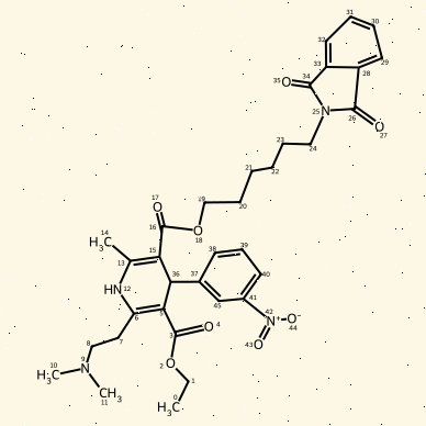 CCOC(=O)C1=C(CCN(C)C)NC(C)=C(C(=O)OCCCCCCN2C(=O)c3ccccc3C2=O)C1c1cccc([N+](=O)[O-])c1